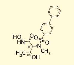 C[C@@H](O)[C@@H](C(=O)NO)N(C)S(=O)(=O)c1ccc(-c2ccccc2)cc1